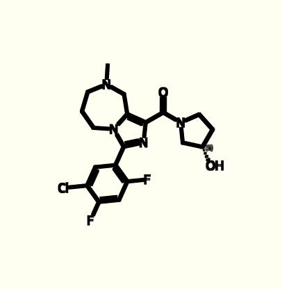 CN1CCCn2c(-c3cc(Cl)c(F)cc3F)nc(C(=O)N3CC[C@H](O)C3)c2C1